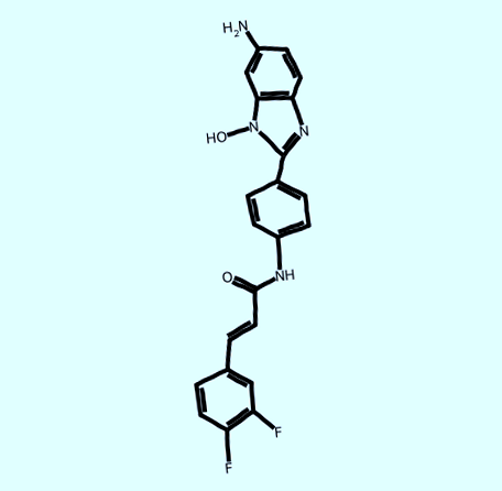 Nc1ccc2nc(-c3ccc(NC(=O)/C=C/c4ccc(F)c(F)c4)cc3)n(O)c2c1